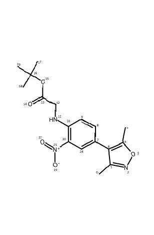 Cc1noc(C)c1-c1ccc(NCC(=O)OC(C)(C)C)c([N+](=O)[O-])c1